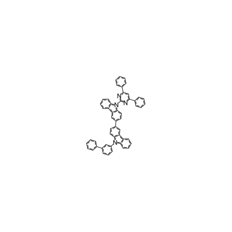 c1ccc(-c2cccc(-n3c4ccccc4c4cc(-c5ccc6c(c5)c5ccccc5n6-c5nc(-c6ccccc6)cc(-c6ccccc6)n5)ccc43)c2)cc1